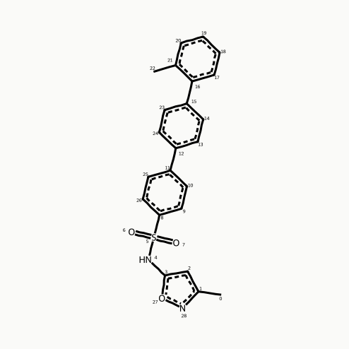 Cc1cc(NS(=O)(=O)c2ccc(-c3ccc(-c4ccccc4C)cc3)cc2)on1